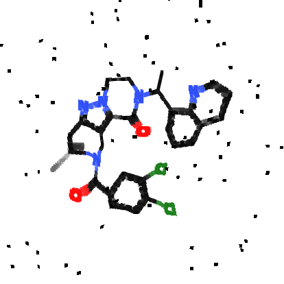 CC(c1cccc2cccnc12)N1CCn2nc3c(c2C1=O)CN(C(=O)c1ccc(Cl)c(Cl)c1)[C@H](C)C3